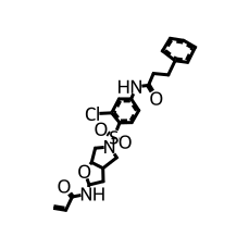 C=CC(=O)NC1CC2CN(S(=O)(=O)c3ccc(NC(=O)CCc4ccccc4)cc3Cl)CC2O1